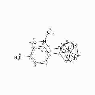 Cc1ccc([C]23[CH]4[CH]5[CH]6[CH]2[Fe]56432789[CH]3[CH]2[CH]7[C]8(CN(C)C)[CH]39)cc1